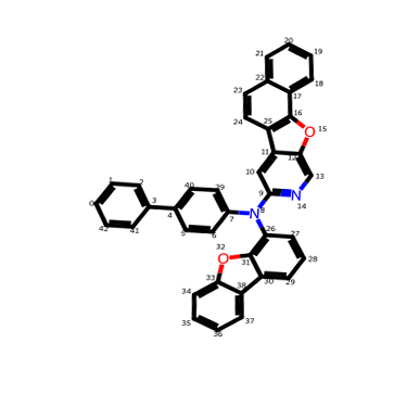 c1ccc(-c2ccc(N(c3cc4c(cn3)oc3c5ccccc5ccc43)c3cccc4c3oc3ccccc34)cc2)cc1